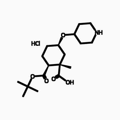 CC(C)(C)OC(=O)[C@H]1CC[C@@H](OC2CCNCC2)C[C@]1(C)C(=O)O.Cl